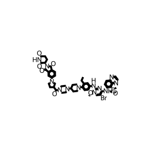 CCc1cc(Nc2ncc(Br)c(Nc3ccc4nccnc4c3P(C)(C)=O)n2)c(OC)cc1N1CCC(N2CCN(C(=O)C3CCN(c4ccc5c(c4)C(=O)N(C4CCC(=O)NC4=O)C5=O)C3)CC2)CC1